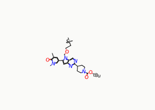 Cc1cc(-c2cc3nc(C4CCN(C(=O)OC(C)(C)C)CC4)ncc3n2COCC[Si](C)(C)C)cn(C)c1=O